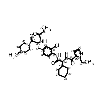 CCC(=O)N[C@H](Cc1ccc(NC(=O)[C@@H](NC(=O)c2ccnn2CC)C2CCCCC2)c(Cl)c1)C(=O)N1CCN(C)CC1